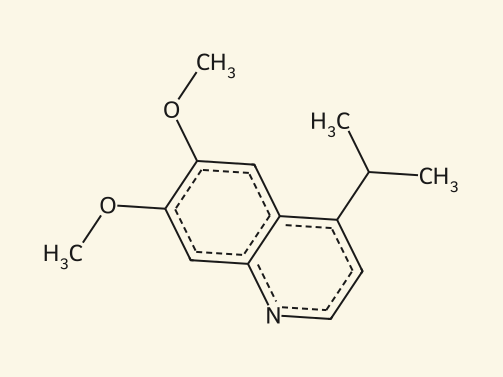 COc1cc2nccc(C(C)C)c2cc1OC